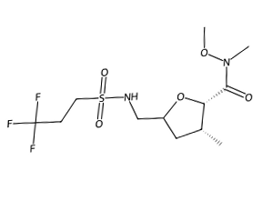 CON(C)C(=O)[C@H]1OC(CNS(=O)(=O)CCC(F)(F)F)C[C@H]1C